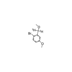 [2H]C([2H])(OC)c1cc(OC)ccc1Br